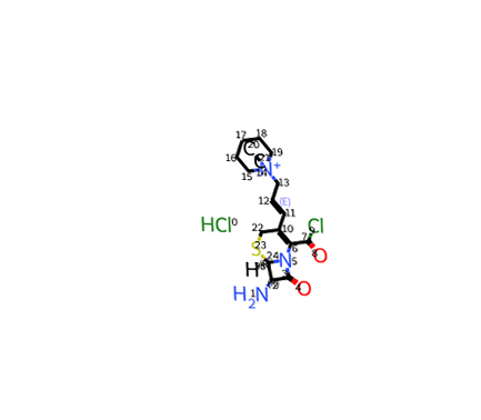 Cl.N[C@@H]1C(=O)N2C(C(=O)Cl)=C(/C=C/C[N+]34CCC(CC3)CC4)CS[C@H]12